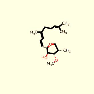 CO[C@@H]1[C@@H](O)[C@H](/C=C\C=C(/C)CCC=C(C)C)OC[C@@H]1C